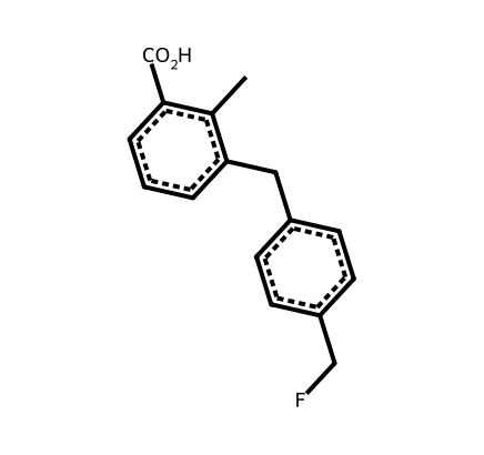 Cc1c(Cc2ccc(CF)cc2)cccc1C(=O)O